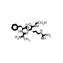 C[C@H](N)C(=O)N[C@@H](Cc1ccccc1)C(=O)N[C@@H](CCCNC(=N)N)C(=O)NCC(=O)O